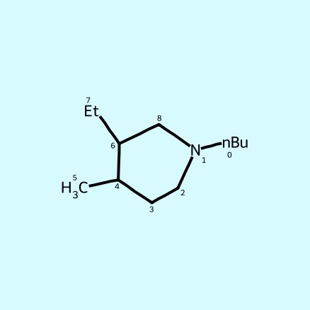 CCCCN1CCC(C)C(CC)C1